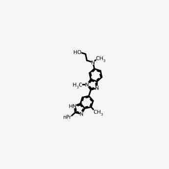 CCCc1nc2c(C)cc(-c3nc4ccc(N(C)CCO)cc4n3C)cc2[nH]1